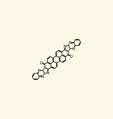 O=c1c2ccc3c4ccc5c6n(c(=O)c7ccc(c8ccc(c9n1C1N=c%10ccccc%10=NC1N=9)c2c38)c4c75)C1N=c2ccccc2=NC1N=6